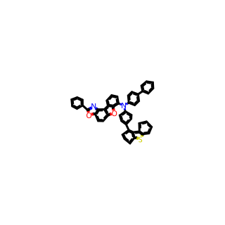 c1ccc(-c2ccc(N(c3ccc(-c4cccc5sc6ccccc6c45)cc3)c3cccc4c3oc3ccc5oc(-c6ccccc6)nc5c34)cc2)cc1